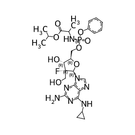 CC(C)OC(=O)C(C)N[P@@](=O)(OC[C@H]1O[C@@H](n2cnc3c(NC4CC4)nc(N)nc32)[C@@](F)(CO)[C@@H]1O)Oc1ccccc1